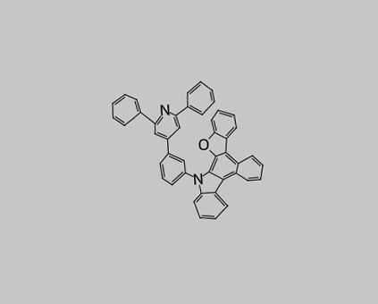 c1ccc(-c2cc(-c3cccc(-n4c5ccccc5c5c6ccccc6c6c7ccccc7oc6c54)c3)cc(-c3ccccc3)n2)cc1